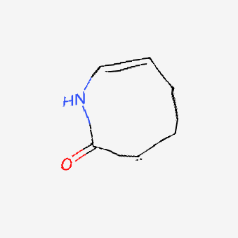 O=C1[C]CCC=CN1